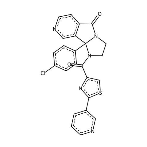 O=C(c1csc(-c2cccnc2)n1)N1CCN2C(=O)c3ccncc3C12c1ccc(Cl)cc1